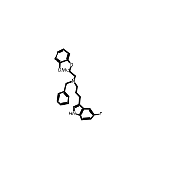 COc1ccccc1OCCN(CCCc1c[nH]c2ccc(F)cc12)Cc1ccccc1